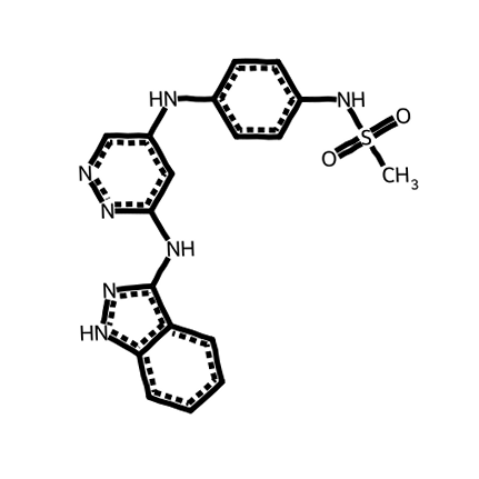 CS(=O)(=O)Nc1ccc(Nc2cnnc(Nc3n[nH]c4ccccc34)c2)cc1